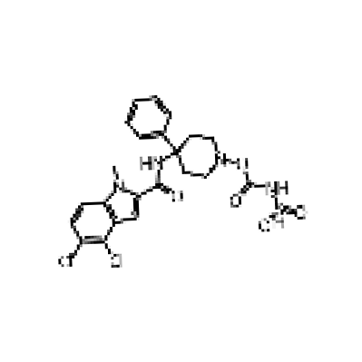 Cn1c(C(=O)NC2(c3ccccc3)CCN(OC(=O)N[SH](=O)=O)CC2)cc2c(Cl)c(Cl)ccc21